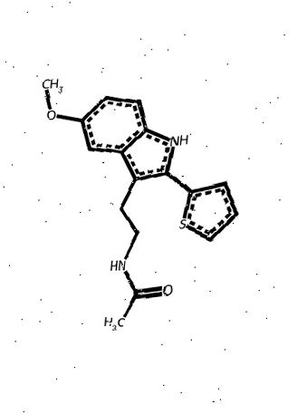 COc1ccc2[nH]c(-c3cccs3)c(CCNC(C)=O)c2c1